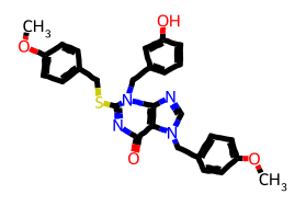 COc1ccc(CSc2nc(=O)c3c(ncn3Cc3ccc(OC)cc3)n2Cc2cccc(O)c2)cc1